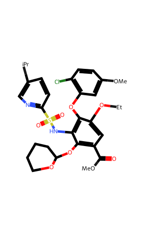 CCOc1cc(C(=O)OC)c(OC2CCCCO2)c(NS(=O)(=O)c2ccc(C(C)C)cn2)c1Oc1cc(OC)ccc1Cl